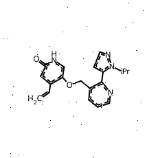 C=Cc1cc(=O)[nH]cc1OCc1cccnc1-c1ccnn1C(C)C